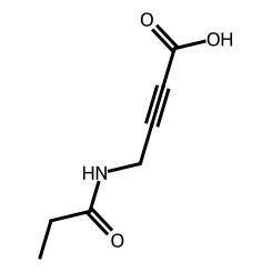 CCC(=O)NCC#CC(=O)O